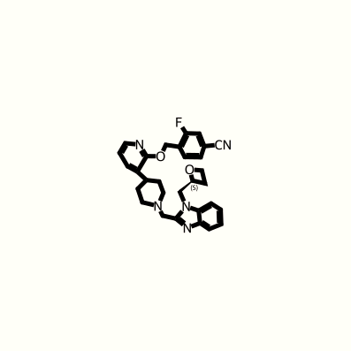 N#Cc1ccc(COc2ncccc2C2CCN(Cc3nc4ccccc4n3C[C@@H]3CCO3)CC2)c(F)c1